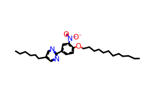 CCCCCCCCCCCCOc1ccc(-c2ncc(CCCCCC)cn2)cc1[N+](=O)[O-]